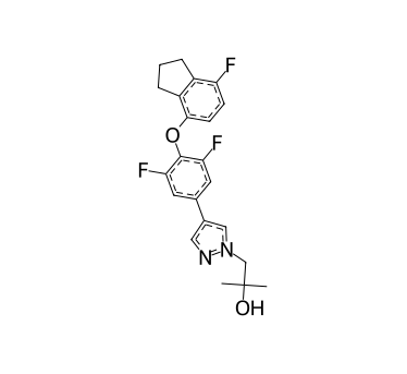 CC(C)(O)Cn1cc(-c2cc(F)c(Oc3ccc(F)c4c3CCC4)c(F)c2)cn1